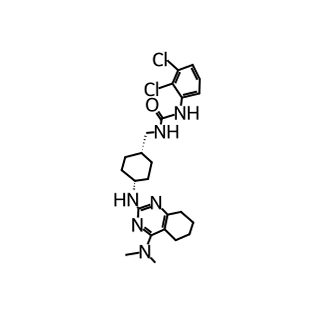 CN(C)c1nc(N[C@H]2CC[C@@H](CNC(=O)Nc3cccc(Cl)c3Cl)CC2)nc2c1CCCC2